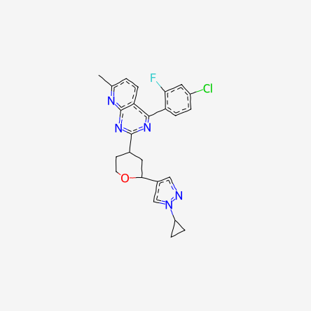 Cc1ccc2c(-c3ccc(Cl)cc3F)nc(C3CCOC(c4cnn(C5CC5)c4)C3)nc2n1